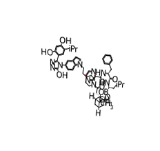 CC(C)C[C@H](NC(=O)[C@H](Cc1ccccc1)NC(=O)c1cnccn1)B1O[C@H]2C[C@@H]3C[C@@H](C3(C)C)[C@@]2(CC(=O)N2CCC(CCn3ccc4cc(-n5c(O)nnc5-c5cc(C(C)C)c(O)cc5O)ccc43)CC2)O1